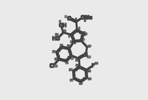 COC(=O)c1nc2n(c1C(O)O)-c1ccc(Cl)cc1C(c1ccccc1F)=NC2